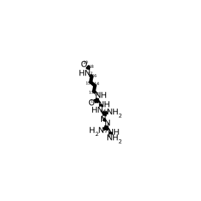 NN/C(N)=N/N=C(\N)NNC(=O)NCCCCNC=O